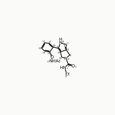 CCNC(=O)N1Cc2n[nH]c(-c3ccccc3ONC(C)=O)c2C1